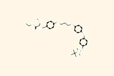 CCOC(=O)[C@H](Cc1ccc(OCCCOc2ccc(Oc3ccc(O[Si](C)(C)C(C)(C)C)cc3)cc2)cc1)OC